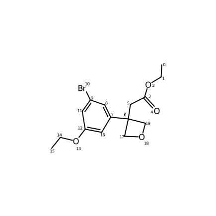 CCOC(=O)CC1(c2cc(Br)cc(OCC)c2)COC1